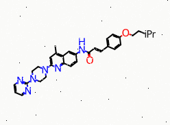 Cc1cc(N2CCN(c3ncccn3)CC2)nc2ccc(NC(=O)C=Cc3ccc(OCCC(C)C)cc3)cc12